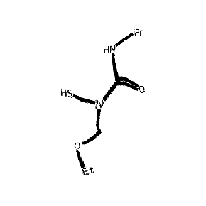 CCOCN(S)C(=O)NC(C)C